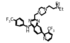 CCN(CC)CCN1CCN(Cc2nc(Nc3ccc(C(F)(F)F)cc3)c3ccc(-c4ncccc4C(F)(F)F)cc3n2)CC1